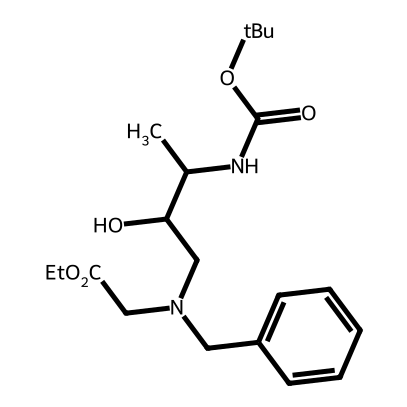 CCOC(=O)CN(Cc1ccccc1)CC(O)C(C)NC(=O)OC(C)(C)C